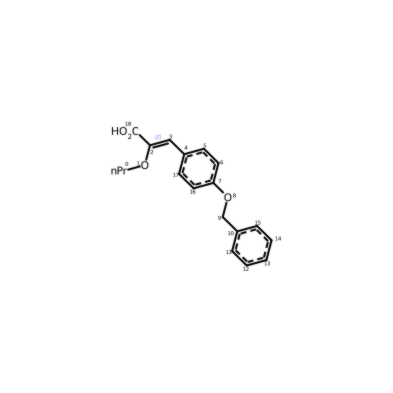 CCCO/C(=C\c1ccc(OCc2ccccc2)cc1)C(=O)O